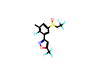 Cc1cc([S+]([O-])CC(F)(F)F)cc(-c2cc(C(F)(F)F)on2)c1F